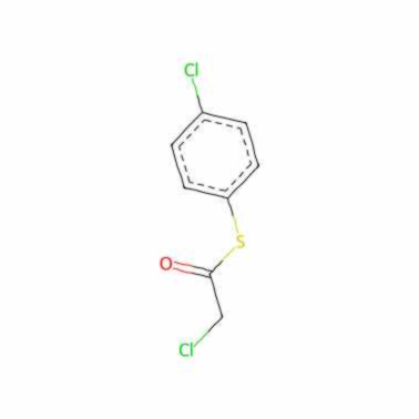 O=C(CCl)Sc1ccc(Cl)cc1